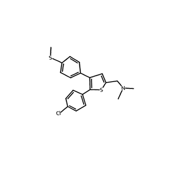 CSc1ccc(-c2cc(CN(C)C)sc2-c2ccc(Cl)cc2)cc1